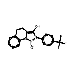 [O-][NH+]1N(c2ccc(C(F)(F)F)cc2)C(O)=C2CCc3ccccc3N21